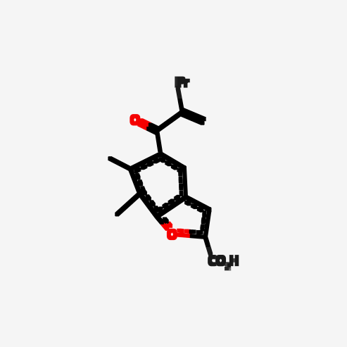 C=C(C(=O)c1cc2cc(C(=O)O)oc2c(C)c1C)C(C)C